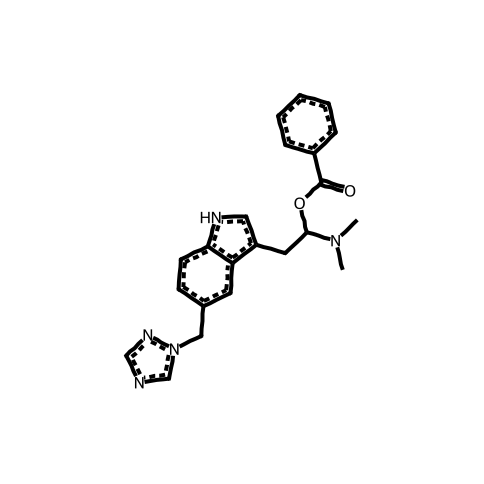 CN(C)C(Cc1c[nH]c2ccc(Cn3cncn3)cc12)OC(=O)c1ccccc1